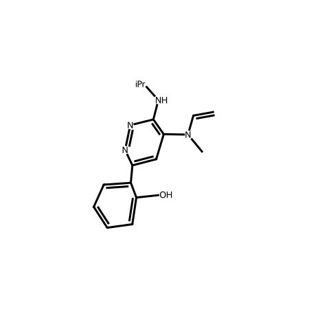 C=CN(C)c1cc(-c2ccccc2O)nnc1NC(C)C